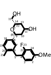 COc1ccc(Cc2cc([C@H]3CC(O)C[C@@H](CO)O3)ccc2C)c(F)c1